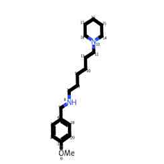 COc1ccc(CNCCCCCCN2CC[CH]CC2)cc1